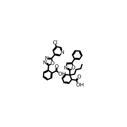 CCCCC1(c2ncc(-c3ccccc3)o2)C=CC=CC1C(=O)O.O=C(O)c1ccccc1-c1nnc(-c2cncc(Cl)c2)o1